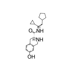 O=C(N[C@H](CC1CCCC1)C1CC1)[C@H]1Cc2ccc(O)cc2CN1